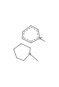 CN1CCCCC1.C[n+]1ccccc1